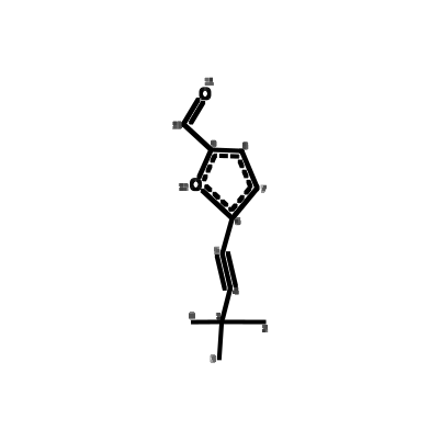 CC(C)(C)C#Cc1ccc(C=O)o1